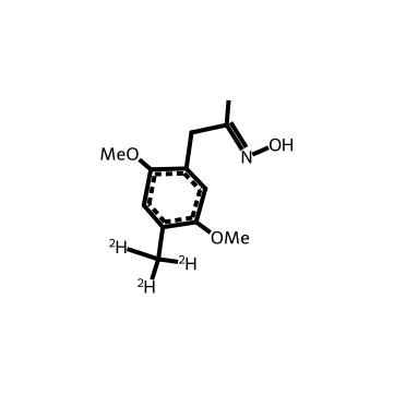 [2H]C([2H])([2H])c1cc(OC)c(CC(C)=NO)cc1OC